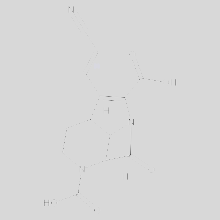 N#C/C=C/C1=C(C(=O)O)N2C(=O)[C@@H]3[C@H]2C1CCN3C(=O)O